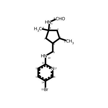 CC1CC(C)(NC=O)CC1CNc1ccc(Br)cn1